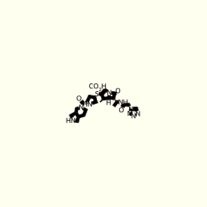 CC(NC(=O)Cn1cnnn1)[C@H]1C(=O)N2C(C(=O)O)=C(S[C@@H]3CN[C@H](C(=O)N4CCC5CNCC5C4)C3)[C@H](C)[C@H]12